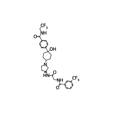 O=C(CNC(=O)c1cccc(C(F)(F)F)c1)N[C@@H]1CCN(C2CCC(O)(c3ccc(C(=O)NCC(F)(F)F)cc3)CC2)C1